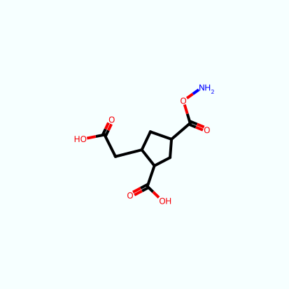 NOC(=O)C1CC(CC(=O)O)C(C(=O)O)C1